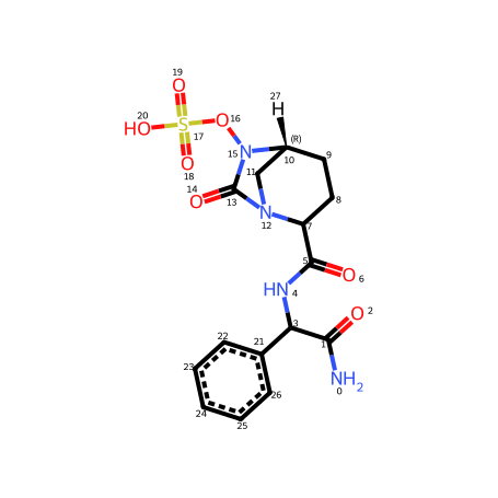 NC(=O)C(NC(=O)C1CC[C@@H]2CN1C(=O)N2OS(=O)(=O)O)c1ccccc1